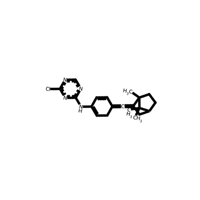 CC12CCC(CC1=C=C1C=CC(Nc3ncnc(Cl)n3)=CC1)C2(C)C